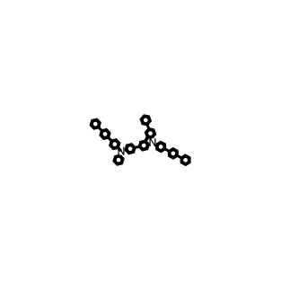 c1ccc(-c2ccc(-c3ccc(N(c4ccccc4)c4ccc(-c5ccc6c(c5)c5cc(-c7ccccc7)ccc5n6-c5ccc(-c6ccc(-c7ccccc7)cc6)cc5)cc4)cc3)cc2)cc1